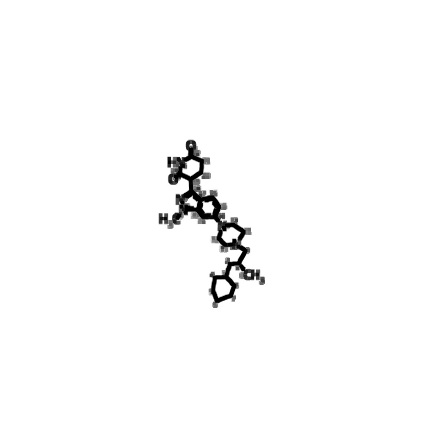 C[C@@H](CC1CCCCC1)CN1CCN(c2ccc3c(C4CCC(=O)NC4=O)nn(C)c3c2)CC1